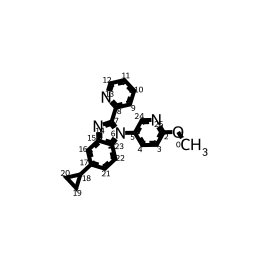 COc1ccc(-n2c(-c3ccccn3)nc3cc(C4CC4)ccc32)cn1